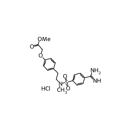 COC(=O)COc1ccc(CCN(C)S(=O)(=O)c2ccc(C(=N)N)cc2)cc1.Cl